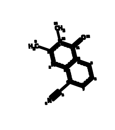 Cc1nc2c(C#N)cccc2c(=O)n1C